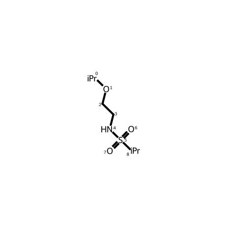 CC(C)OCCNS(=O)(=O)C(C)C